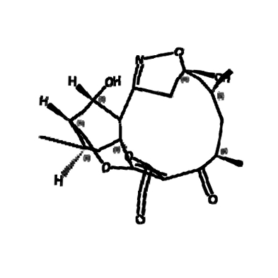 C[C@@H]1C[C@H](C)[C@]2(O)CC(=NO2)C2[C@@H](O)[C@@H]3OC4=C(C(=O)O[C@@]42C[C@H]3C)C1=O